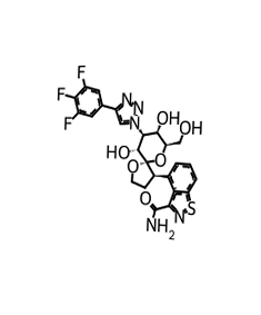 NC(=O)c1nsc2cccc([C@H]3CCO[C@]34O[C@H](CO)[C@H](O)[C@H](n3cc(-c5cc(F)c(F)c(F)c5)nn3)[C@H]4O)c12